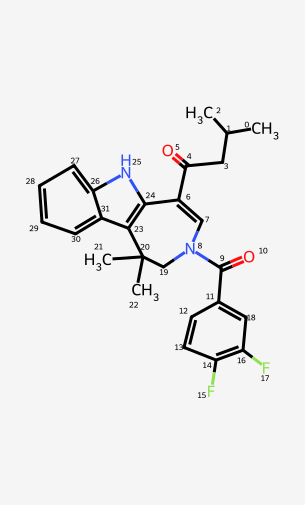 CC(C)CC(=O)C1=CN(C(=O)c2ccc(F)c(F)c2)CC(C)(C)c2c1[nH]c1ccccc21